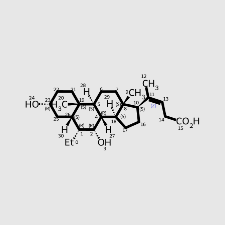 CC[C@H]1[C@@H](O)[C@@H]2[C@H](CC[C@]3(C)[C@@H](/C(C)=C\CC(=O)O)CC[C@@H]23)[C@@]2(C)CC[C@@H](O)C[C@@H]12